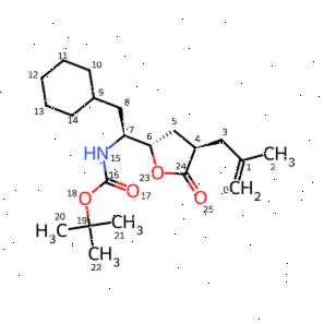 C=C(C)C[C@@H]1C[C@@H]([C@H](CC2CCCCC2)NC(=O)OC(C)(C)C)OC1=O